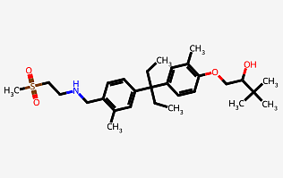 CCC(CC)(c1ccc(CNCCS(C)(=O)=O)c(C)c1)c1ccc(OCC(O)C(C)(C)C)c(C)c1